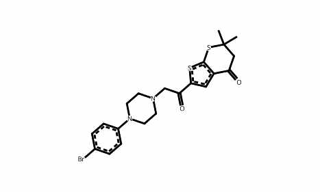 CC1(C)CC(=O)c2cc(C(=O)CN3CCN(c4ccc(Br)cc4)CC3)sc2S1